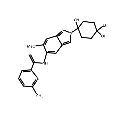 CCC1(O)CCC(C#N)(n2cc3cc(NC(=O)c4cccc(C)n4)c(OC)cc3n2)CC1